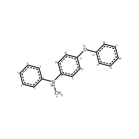 C[SiH](c1ccccc1)c1ccc(Oc2ccccc2)cc1